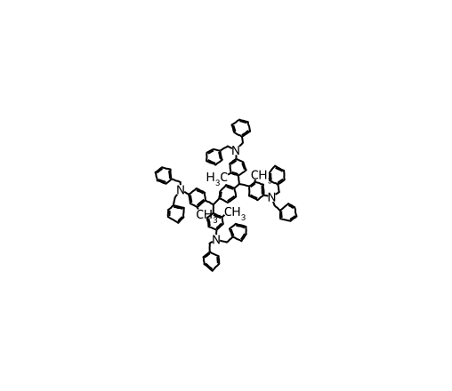 Cc1cc(N(Cc2ccccc2)Cc2ccccc2)ccc1C(c1ccc(C(c2ccc(N(Cc3ccccc3)Cc3ccccc3)cc2C)c2ccc(N(Cc3ccccc3)Cc3ccccc3)cc2C)cc1)c1ccc(N(Cc2ccccc2)Cc2ccccc2)cc1C